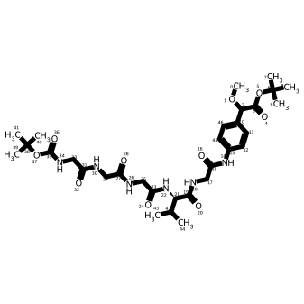 COC(C(=O)OC(C)(C)C)c1ccc(NC(=O)CNC(=O)[C@@H](NC(=O)CNC(=O)CNC(=O)CNC(=O)OC(C)(C)C)C(C)C)cc1